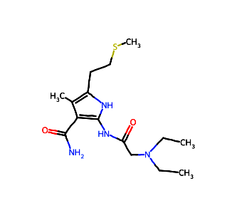 CCN(CC)CC(=O)Nc1[nH]c(CCSC)c(C)c1C(N)=O